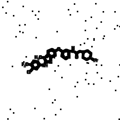 CC(C)N1CCN(CC(=O)Nc2cc(Oc3ccc4c(c3)nc(Nc3ccc(C(F)(F)F)c(Cl)c3)n4C)ccn2)CC1